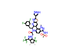 C[C@@H]1c2c(C(F)(F)F)nn(CC(=O)NC(Cc3cc(F)cc(F)c3)c3nc4nc(-c5cn[nH]c5)sc4cc3-c3cccc4c(NS(C)(=O)=O)nn(C)c34)c2C(F)(F)[C@@H]1C